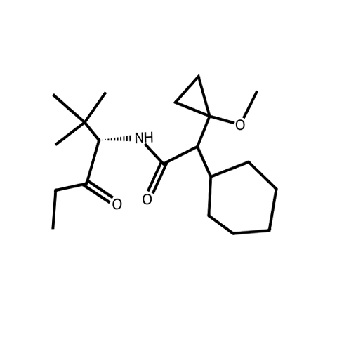 CCC(=O)[C@@H](NC(=O)C(C1CCCCC1)C1(OC)CC1)C(C)(C)C